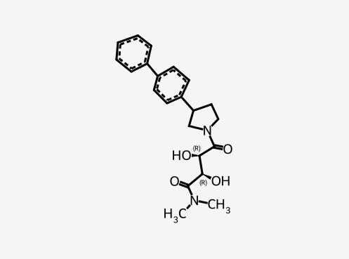 CN(C)C(=O)[C@H](O)[C@@H](O)C(=O)N1CCC(c2ccc(-c3ccccc3)cc2)C1